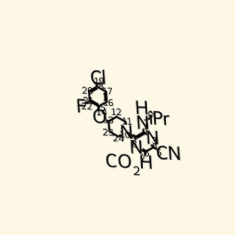 CC(C)Nc1nc(C#N)c(C(=O)O)nc1N1CCC(Oc2ccc(Cl)cc2F)CC1